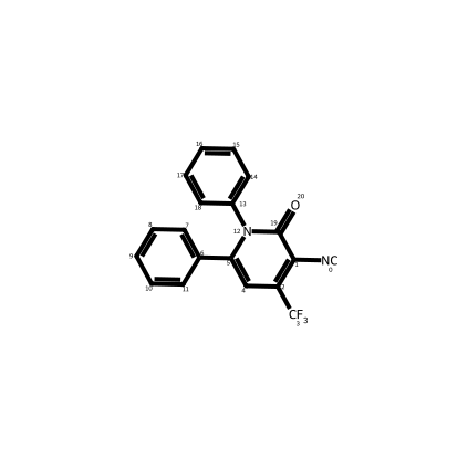 [C-]#[N+]c1c(C(F)(F)F)cc(-c2ccccc2)n(-c2ccccc2)c1=O